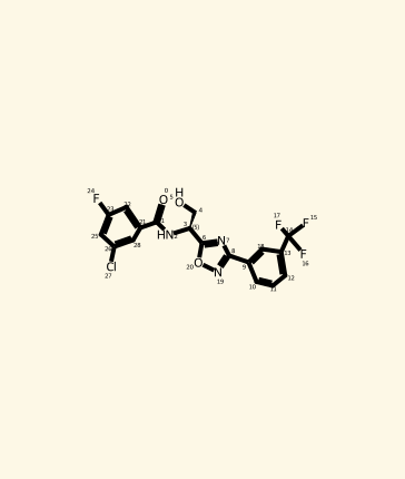 O=C(N[C@@H](CO)c1nc(-c2cccc(C(F)(F)F)c2)no1)c1cc(F)cc(Cl)c1